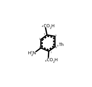 Nc1cc(C(=O)O)ccc1C(=O)O.[Th]